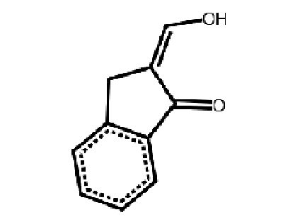 O=C1C(=CO)Cc2ccccc21